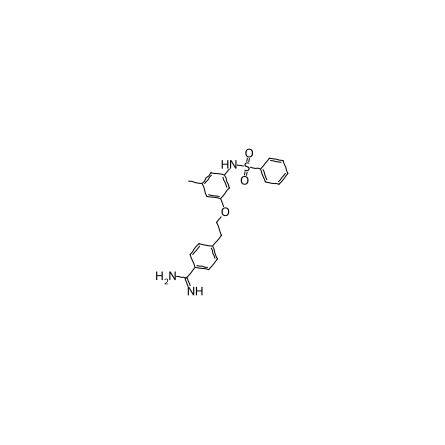 Cc1cc(NS(=O)(=O)c2ccccc2)cc(OCCc2ccc(C(=N)N)cc2)c1